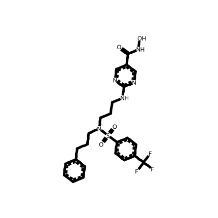 O=C(NO)c1cnc(NCCCN(CCCc2ccccc2)S(=O)(=O)c2ccc(C(F)(F)F)cc2)nc1